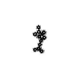 c1ccc(-c2cc(-c3ccccc3)cc(-n3c4c(c5ccccc53)-c3ccccc3N(c3ccc(-c5ccc(-c6cc(-c7ccccc7)nc(-c7ccccc7)n6)cc5)cc3)c3ccccc3-4)c2)cc1